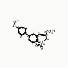 CC(C)Oc1ccc(-c2ccc3c(c2)C=C(C(=O)O)CCS3(=O)=O)cc1